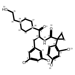 O=C([C@H](Cc1cc(Cl)cc(Cl)c1)NC(=O)C1(c2ccc(Cl)cc2Cl)CC1)N1CCN(CCO)CC1